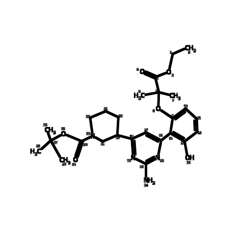 CCOC(=O)C(C)(C)Oc1cccc(O)c1-c1cc(C2CCCN(C(=O)OC(C)(C)C)C2)nc(N)n1